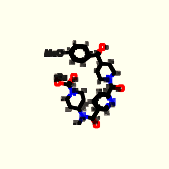 COc1ccc(C(=O)C2CCN(C(=O)c3ccc(C(=O)N(C)C4CCN(C(=O)OC(C)(C)C)CC4)cn3)CC2)cc1